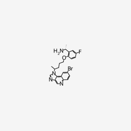 CC(CCCOc1ccc(F)cc1[C@@H](C)N)n1cnc2cnc3ccc(Br)cc3c21